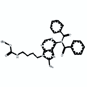 CCCCc1nc2c(N(C(=O)c3ccccc3)C(=O)c3ccccc3)ncnc2n1CCCCNC(=O)OC(C)(C)C